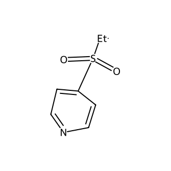 C[CH]S(=O)(=O)c1ccncc1